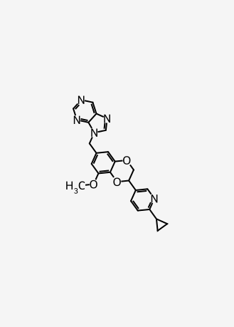 COc1cc(Cn2cnc3cncnc32)cc2c1OC(c1ccc(C3CC3)nc1)CO2